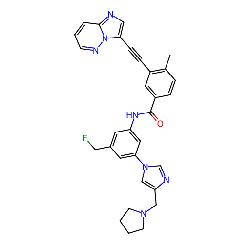 Cc1ccc(C(=O)Nc2cc(CF)cc(-n3cnc(CN4CCCC4)c3)c2)cc1C#Cc1cnc2cccnn12